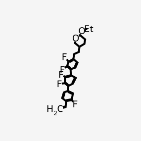 C=Cc1ccc(-c2ccc(-c3ccc(CCC4CCC(OCC)OC4)c(F)c3F)c(F)c2F)cc1F